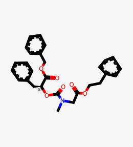 CN(CC(=O)OCCc1ccccc1)C(=O)O[C@@H](Cc1ccccc1)C(=O)OCc1ccccc1